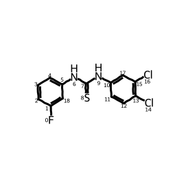 Fc1cccc(NC(=S)Nc2ccc(Cl)c(Cl)c2)c1